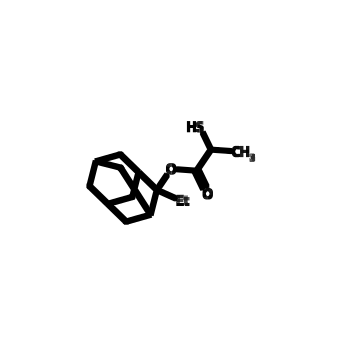 CCC1(OC(=O)C(C)S)C2CC3CC(C2)CC1C3